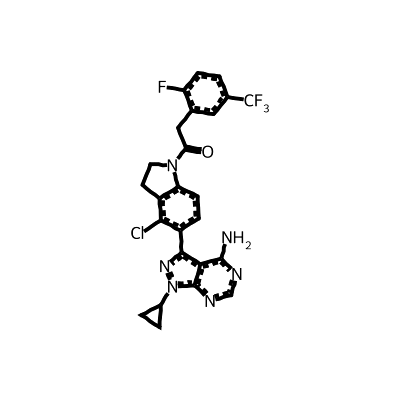 Nc1ncnc2c1c(-c1ccc3c(c1Cl)CCN3C(=O)Cc1cc(C(F)(F)F)ccc1F)nn2C1CC1